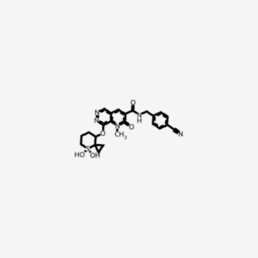 Cn1c(=O)c(C(=O)NCc2ccc(C#N)cc2)cc2cnnc(OC3CCCS(O)(O)C34CC4)c21